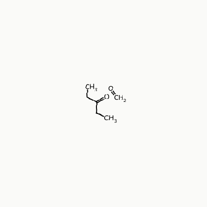 C=O.CCC(=O)CC